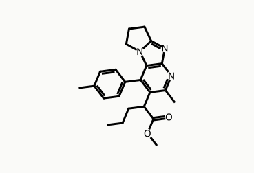 CCCC(C(=O)OC)c1c(C)nc2nc3n(c2c1-c1ccc(C)cc1)CCC3